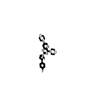 Fc1ccc(-c2ccn(-c3nc(N4CCOCC4)c4ncc(N5CCOCC5)cc4n3)n2)cc1